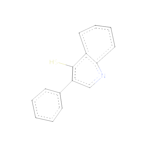 Sc1c(-c2ccccc2)cnc2ccccc12